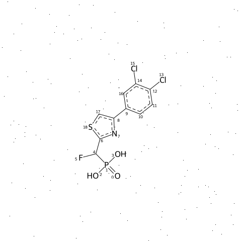 O=P(O)(O)C(F)c1nc(-c2ccc(Cl)c(Cl)c2)cs1